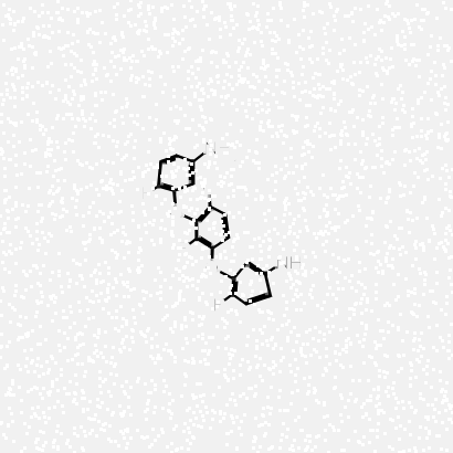 Nc1ccc(F)c(Oc2ccc(C(F)(F)F)c(Oc3cc(N)ccc3F)c2F)c1